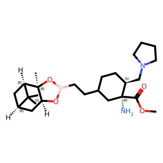 COC(=O)[C@@]1(N)CC(CCB2O[C@H]3C[C@H]4C[C@H](C4(C)C)[C@@]3(C)O2)CC[C@H]1CN1CCCC1